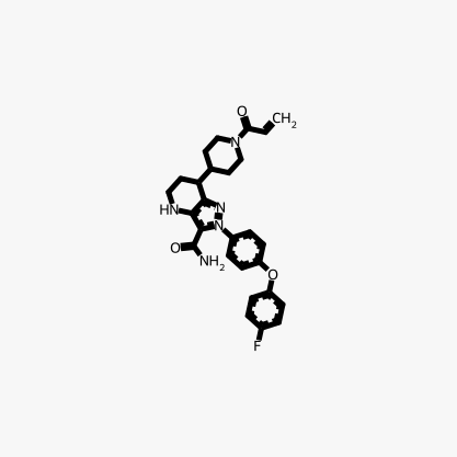 C=CC(=O)N1CCC(C2CCNc3c2nn(-c2ccc(Oc4ccc(F)cc4)cc2)c3C(N)=O)CC1